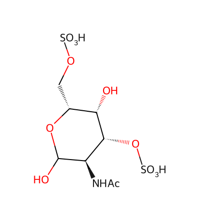 CC(=O)N[C@H]1C(O)O[C@H](COS(=O)(=O)O)[C@H](O)[C@@H]1OS(=O)(=O)O